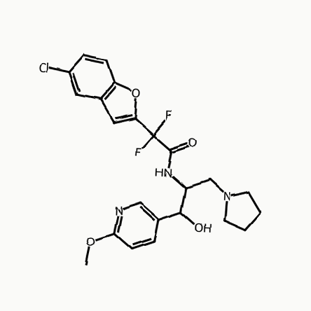 COc1ccc(C(O)C(CN2CCCC2)NC(=O)C(F)(F)c2cc3cc(Cl)ccc3o2)cn1